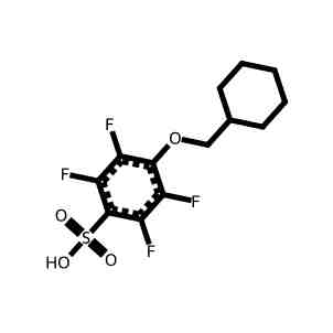 O=S(=O)(O)c1c(F)c(F)c(OCC2CCCCC2)c(F)c1F